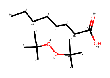 CC(C)(C)OOC(C)(C)C.CCCCCCCC(=O)O